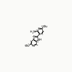 CC(C)(C)c1cc2nc(-c3ccc(C(C)(C)C)nc3N)[nH]c2cn1